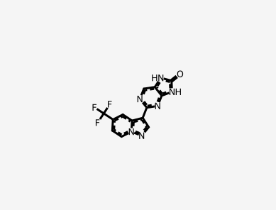 O=c1[nH]c2cnc(-c3cnn4ccc(C(F)(F)F)cc34)nc2[nH]1